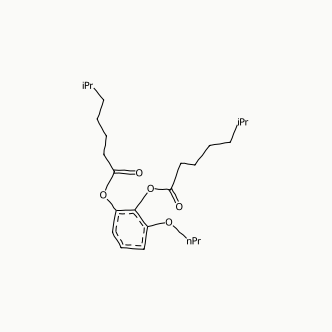 CCCOc1cccc(OC(=O)CCCCC(C)C)c1OC(=O)CCCCC(C)C